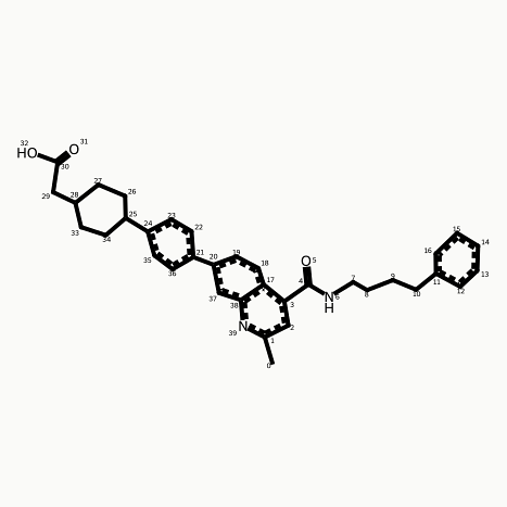 Cc1cc(C(=O)NCCCCc2ccccc2)c2ccc(-c3ccc(C4CCC(CC(=O)O)CC4)cc3)cc2n1